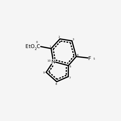 CCOC(=O)c1ccc(F)c2cccn12